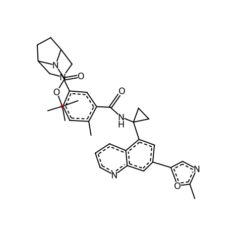 Cc1ncc(-c2cc(C3(NC(=O)c4cc(N5CC6CCC(C5)N6C(=O)OC(C)(C)C)ccc4C)CC3)c3cccnc3c2)o1